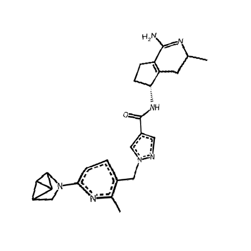 Cc1nc(N2CC3C4C3C42)ccc1Cn1cc(C(=O)N[C@@H]2CCC3=C2CC(C)N=C3N)cn1